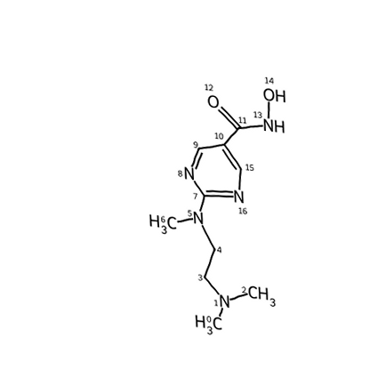 CN(C)CCN(C)c1ncc(C(=O)NO)cn1